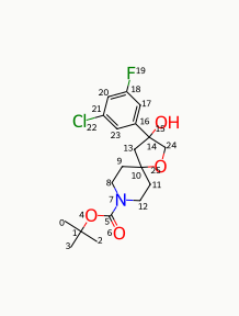 CC(C)(C)OC(=O)N1CCC2(CC1)CC(O)(c1cc(F)cc(Cl)c1)CO2